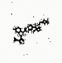 N#CC1([C@@H](NC(=O)CC2CC(F)(F)C2)c2cnn3cc([C@@H](NC(=O)c4cocc4C4CC4)C4CCC(F)(F)CC4)nc3c2)CCC1